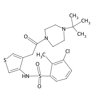 Cc1c(Cl)cccc1S(=O)(=O)Nc1cscc1CC(=O)N1CCN(C(C)(C)C)CC1